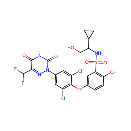 O=c1[nH]c(=O)n(-c2cc(Cl)c(Oc3ccc(O)c(S(=O)(=O)NC(CO)C4CC4)c3)c(Cl)c2)nc1C(F)F